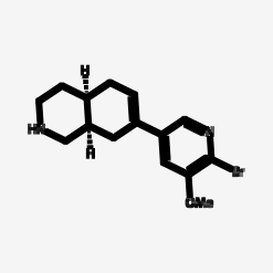 COc1cc(C2=CC[C@@H]3CCNC[C@@H]3C2)cnc1Br